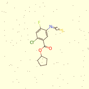 O=C(OC1CCCC1)c1cc(N=C=S)c(F)cc1Cl